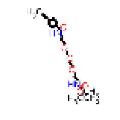 CC#Cc1ccc(C(=O)NCCCOCCOCCOCCCNC(=O)OC(C)(C)C)cc1